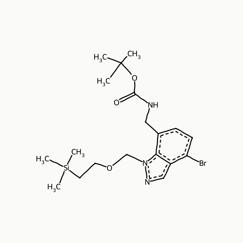 CC(C)(C)OC(=O)NCc1ccc(Br)c2cnn(COCC[Si](C)(C)C)c12